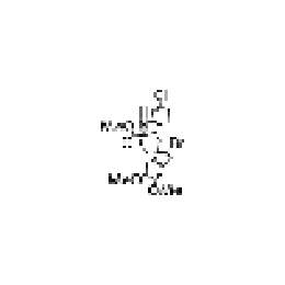 COC(=O)C1(Nc2cccc(Cl)c2)CCC2(CC1)C(Br)=Cc1cc(OC)c(OC)cc12